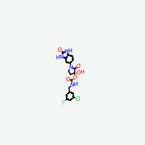 O=C(NCc1cc(F)cc(Cl)c1)O[C@@]1(O)CCN(c2ccc3[nH]c(=O)[nH]c3c2)C1=O